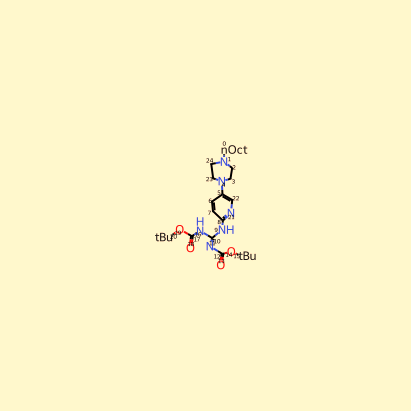 CCCCCCCCN1CCN(c2ccc(NC(=NC(=O)OC(C)(C)C)NC(=O)OC(C)(C)C)nc2)CC1